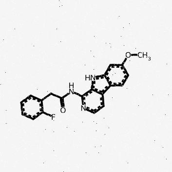 COc1ccc2c(c1)[nH]c1c(NC(=O)Cc3ccccc3F)nccc12